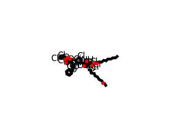 CCCCCCCCCCCC(=O)O[C@H](CCCCCCCCCCC)CC(=O)[C@]1(O)[C@H](OP(=O)(Oc2ccccc2)Oc2ccccc2)[C@@H](COC(=O)OC(C)(C)C(Cl)(Cl)Cl)O[C@H](Cl)[C@@H]1NC(=O)OCC(Cl)(Cl)Cl